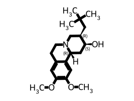 COc1cc2c(cc1OC)[C@H]1C[C@H](O)[C@H](CC(C)(C)C)CN1CC2